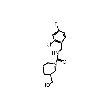 O=C(NCc1ccc(F)cc1Cl)N1CCCC(CO)C1